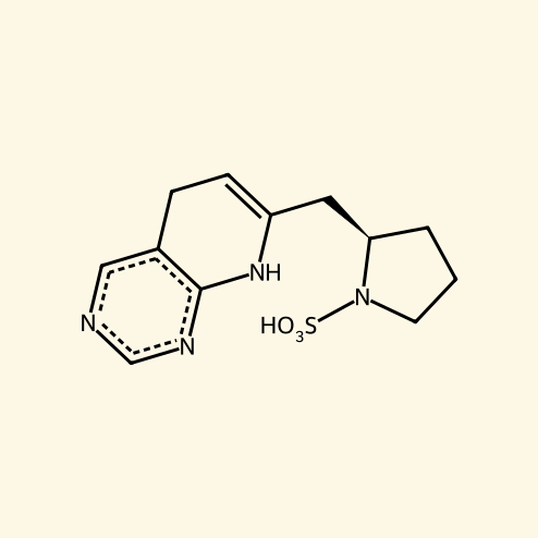 O=S(=O)(O)N1CCC[C@@H]1CC1=CCc2cncnc2N1